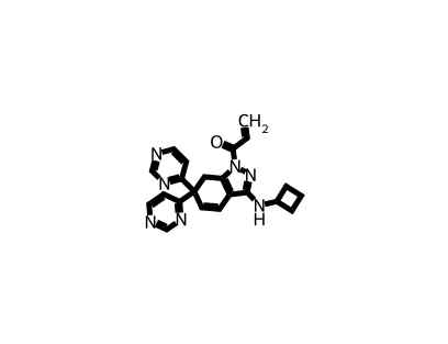 C=CC(=O)n1nc(NC2CCC2)c2c1CC(c1ccncn1)(c1ccncn1)C=C2